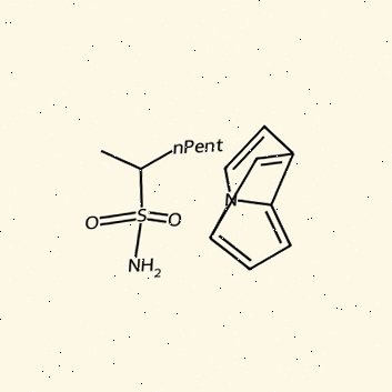 CCCCCC(C)S(N)(=O)=O.c1cn2c3ccc2c1c3